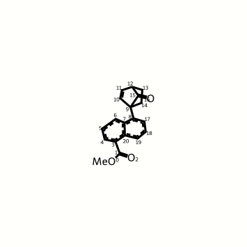 COC(=O)c1cccc2c(C34C=CC(CC3)C4=O)cccc12